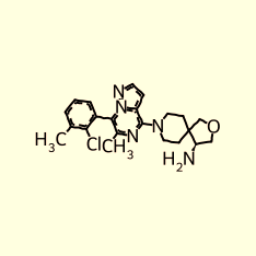 Cc1cccc(-c2c(C)nc(N3CCC4(CC3)COC[C@H]4N)c3ccnn23)c1Cl